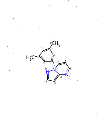 Cc1cccc(C)c1.c1cnc2ccnn2c1